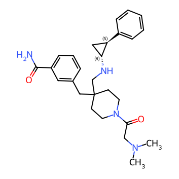 CN(C)CC(=O)N1CCC(CN[C@@H]2C[C@H]2c2ccccc2)(Cc2cccc(C(N)=O)c2)CC1